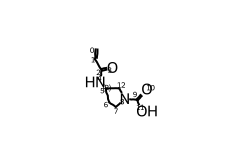 C=CC(=O)N[C@@H]1CCN(C(=O)O)C1